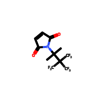 CC(C)(N1C(=O)C=CC1=O)C(C(F)(F)F)(C(F)(F)F)C(F)(F)F